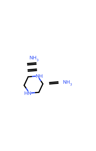 C1CNCCN1.C=C.C=C.C=C.N.N